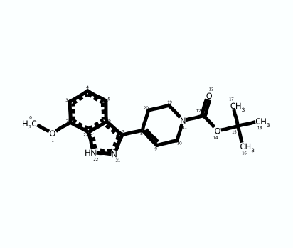 COc1cccc2c(C3=CCN(C(=O)OC(C)(C)C)CC3)n[nH]c12